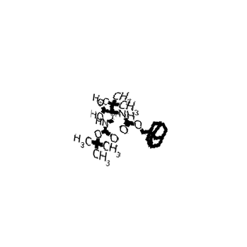 CC(C)(C)OC(=O)NC[C@](NC(=O)OCC12CC3CC(CC(C3)C1)C2)(C(=O)O)C(C)(C)C